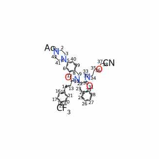 CC(=O)N1CCN(c2ccc(CN(C(=O)C=Cc3ccc(C(F)(F)F)cc3)[C@@H](Cc3ccccc3)C(=O)N(C)CCOCC#N)cc2)CC1